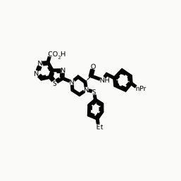 CCCc1ccc(CNC(=O)[C@H]2CN(c3nc4c(C(=O)O)nncc4s3)CCN2Sc2ccc(CC)cc2)cc1